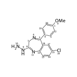 COc1ccc(C2=NCC(NN)=Nc3ccc(Cl)cc32)cc1